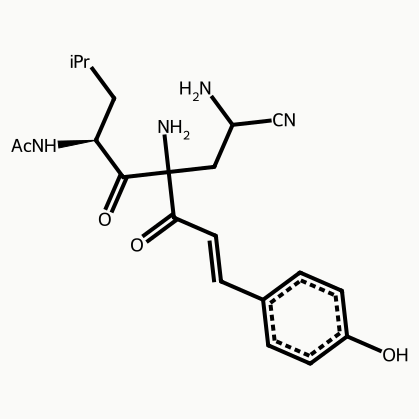 CC(=O)N[C@@H](CC(C)C)C(=O)C(N)(CC(N)C#N)C(=O)/C=C/c1ccc(O)cc1